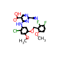 COc1cc(Cl)c(Nc2nc(C#N)ncc2C(=O)O)cc1OCc1c(OC)ccc(F)c1F